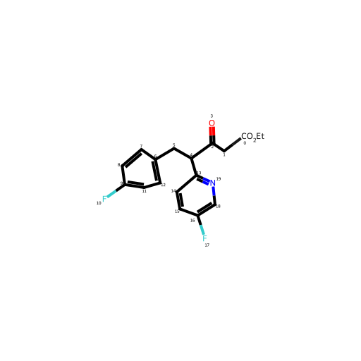 CCOC(=O)CC(=O)C(Cc1ccc(F)cc1)c1ccc(F)cn1